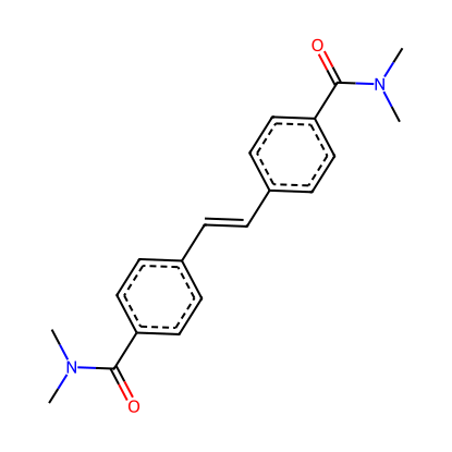 CN(C)C(=O)c1ccc(/C=C/c2ccc(C(=O)N(C)C)cc2)cc1